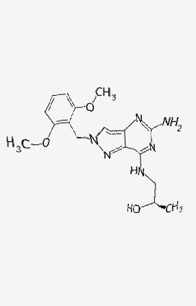 COc1cccc(OC)c1Cn1cc2nc(N)nc(NC[C@@H](C)O)c2n1